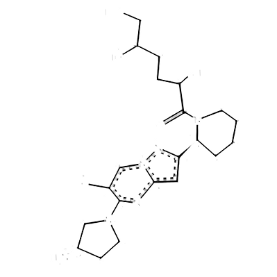 CCC(O)CCC(S)C(=O)N1CCCC[C@H]1c1cc2nc(N3CC[C@H](N)C3)c(C)cn2n1